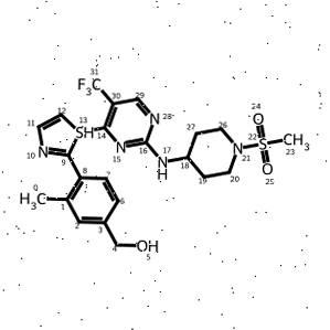 Cc1cc(CO)ccc1C1=NC=C[SH]1c1nc(NC2CCN(S(C)(=O)=O)CC2)ncc1C(F)(F)F